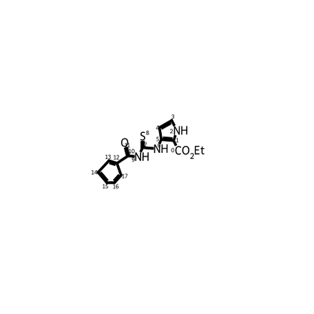 CCOC(=O)c1[nH]ccc1NC(=S)NC(=O)c1ccccc1